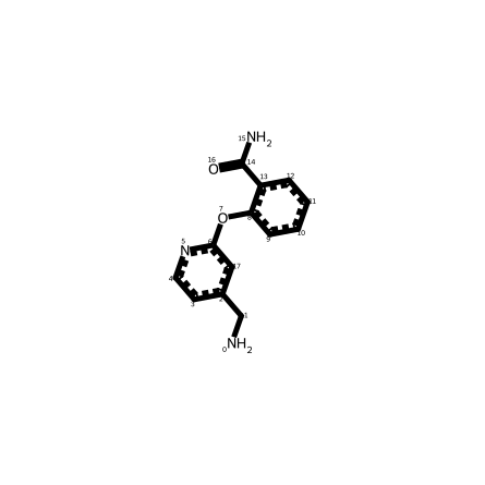 NCc1ccnc(Oc2ccccc2C(N)=O)c1